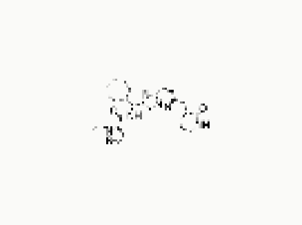 CCn1nccc1C(=O)NC(c1cn2nc(CC3CCCNC3=O)ccc2n1)C1CCCCCC1